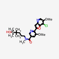 COc1cc(C(=O)N(C)CCCC(C)(C)[Si](C)(C)O)cnc1-c1cc2ncc(OC)c(Cl)c2o1